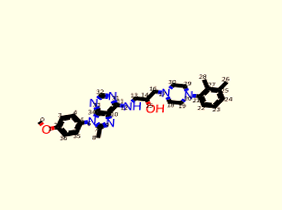 COc1ccc(-n2c(C)nc3c(NCC(O)CN4CCN(c5cccc(C)c5C)CC4)ncnc32)cc1